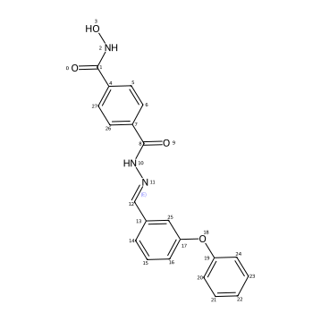 O=C(NO)c1ccc(C(=O)N/N=C/c2cccc(Oc3ccccc3)c2)cc1